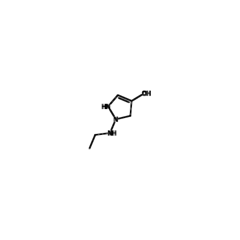 CCNN1CC(O)=CN1